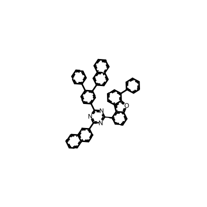 c1ccc(-c2ccc(-c3nc(-c4ccc5ccccc5c4)nc(-c4cccc5oc6c(-c7ccccc7)cccc6c45)n3)cc2-c2ccc3ccccc3c2)cc1